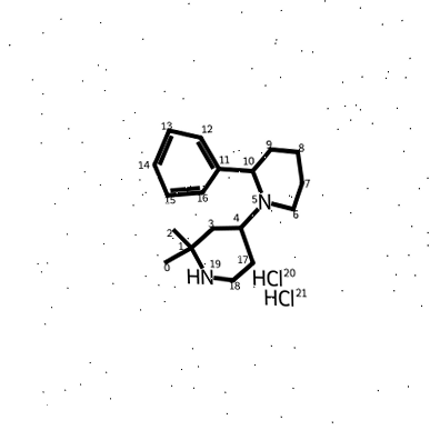 CC1(C)CC(N2CCCCC2c2ccccc2)CCN1.Cl.Cl